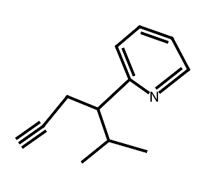 C#CCC(c1ccccn1)C(C)C